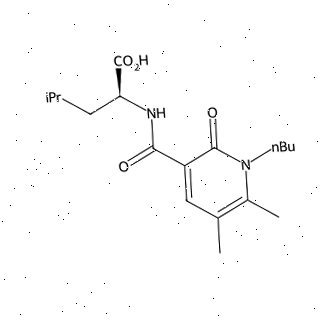 CCCCn1c(C)c(C)cc(C(=O)N[C@@H](CC(C)C)C(=O)O)c1=O